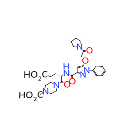 O=C(O)CC[C@H](NC(=O)c1cc(OCC(=O)N2CCCC2)n(-c2ccccc2)n1)C(=O)N1CCN(C(=O)O)CC1